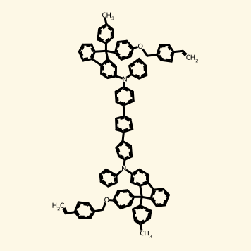 C=Cc1ccc(COc2ccc(C3(c4ccc(C)cc4)c4ccccc4-c4ccc(N(c5ccccc5)c5ccc(-c6ccc(-c7ccc(N(c8ccccc8)c8ccc9c(c8)C(c8ccc(C)cc8)(c8ccc(OCc%10ccc(C=C)cc%10)cc8)c8ccccc8-9)cc7)cc6)cc5)cc43)cc2)cc1